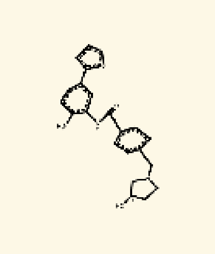 Nc1ccc(-c2cccs2)cc1NC(=O)c1ccc(CN2CC[C@@H](O)C2)cc1